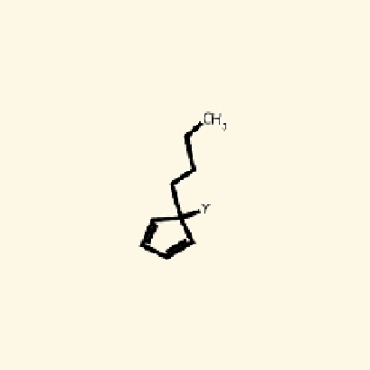 CCCC[C]1([Y])C=CC=C1